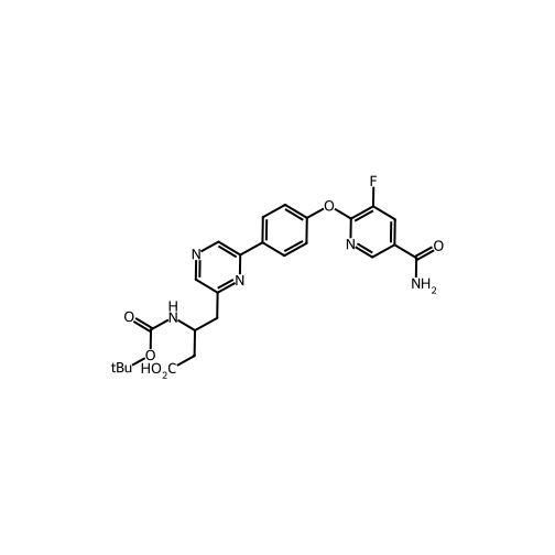 CC(C)(C)OC(=O)NC(CC(=O)O)Cc1cncc(-c2ccc(Oc3ncc(C(N)=O)cc3F)cc2)n1